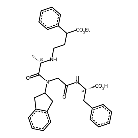 CCOC(=O)C(CCN[C@@H](C)C(=O)N(CC(=O)N[C@@H](Cc1ccccc1)C(=O)O)C1Cc2ccccc2C1)c1ccccc1